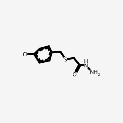 NNC(=O)CSCc1ccc(Cl)cc1